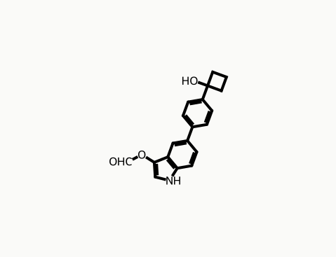 O=COc1c[nH]c2ccc(-c3ccc(C4(O)CCC4)cc3)cc12